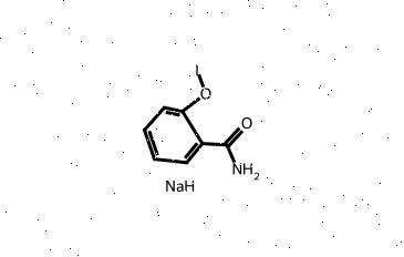 NC(=O)c1ccccc1OI.[NaH]